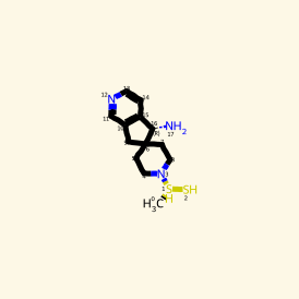 C[SH](S)N1CCC2(CC1)Cc1cnccc1[C@@H]2N